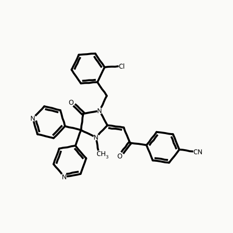 CN1C(=CC(=O)c2ccc(C#N)cc2)N(Cc2ccccc2Cl)C(=O)C1(c1ccncc1)c1ccncc1